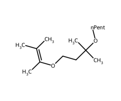 CCCCCOC(C)(C)CCOC(C)=C(C)C